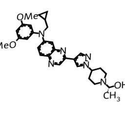 COc1cc(OC)cc(N(CC2CC2)c2ccc3ncc(-c4cnn(C5CCN([C@@H](C)O)CC5)c4)nc3c2)c1